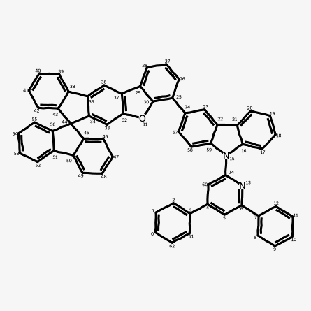 c1ccc(-c2cc(-c3ccccc3)nc(-n3c4ccccc4c4cc(-c5cccc6c5oc5cc7c(cc56)-c5ccccc5C75c6ccccc6-c6ccccc65)ccc43)c2)cc1